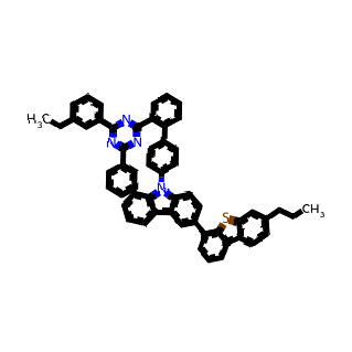 CCCc1ccc2c(c1)sc1c(-c3ccc4c(c3)c3ccccc3n4-c3ccc(-c4ccccc4-c4nc(-c5ccccc5)nc(-c5cccc(CC)c5)n4)cc3)cccc12